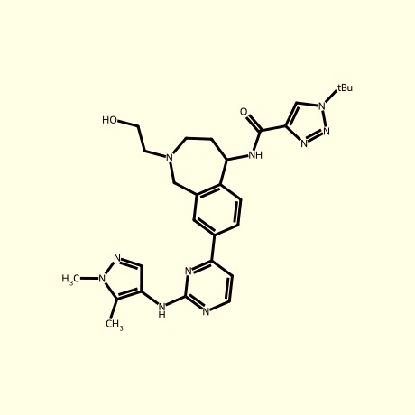 Cc1c(Nc2nccc(-c3ccc4c(c3)CN(CCO)CCC4NC(=O)c3cn(C(C)(C)C)nn3)n2)cnn1C